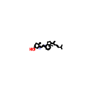 C=C1CC[C@H](O)C/C1=C/C=C1\CCC[C@@]2(C)C1CCC2C(C)CCCC(C)C